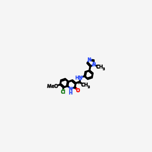 COc1ccc2cc([C@H](C)Nc3cccc(-c4cncn4C)c3)c(=O)[nH]c2c1Cl